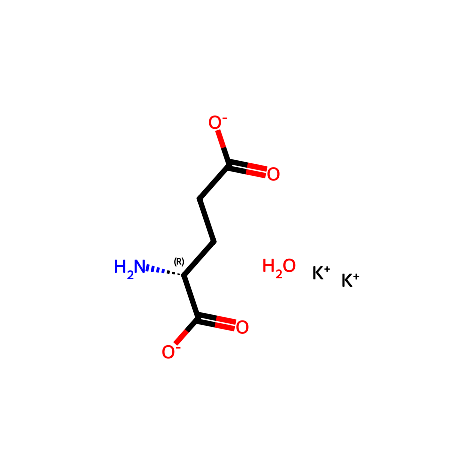 N[C@H](CCC(=O)[O-])C(=O)[O-].O.[K+].[K+]